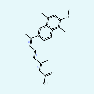 COc1cc(C)c2cc(\C(C)=C/C=C/C(C)=C/C(=O)O)ccc2c1C